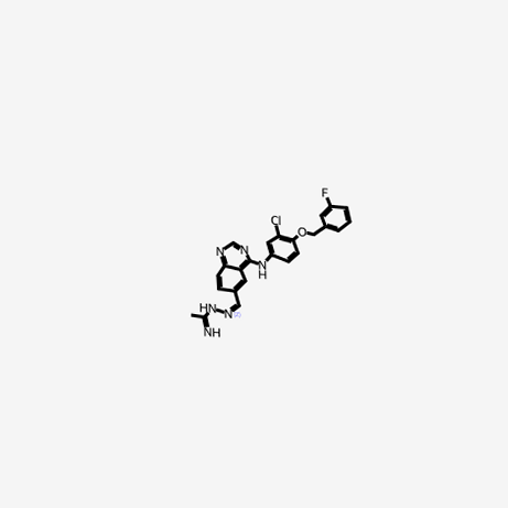 CC(=N)N/N=C\c1ccc2ncnc(Nc3ccc(OCc4cccc(F)c4)c(Cl)c3)c2c1